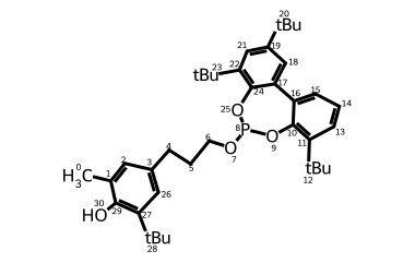 Cc1cc(CCCOp2oc3c(C(C)(C)C)cccc3c3cc(C(C)(C)C)cc(C(C)(C)C)c3o2)cc(C(C)(C)C)c1O